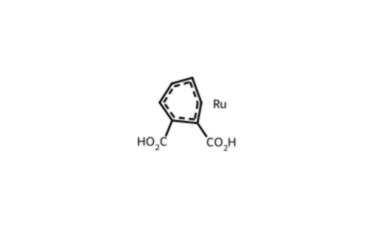 O=C(O)c1ccccc1C(=O)O.[Ru]